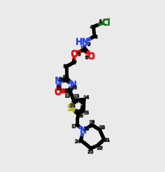 O=C(NCCCl)OCCc1noc(-c2ccc(CN3CCCCCC3)s2)n1